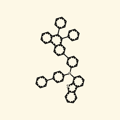 c1ccc(-c2ccc(N(c3cccc(-c4ccc5c(c4)c(-c4ccccc4)c(-c4ccccc4)c4ccccc45)c3)c3cccc4c3sc3ccccc34)cc2)cc1